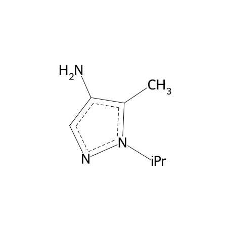 Cc1c(N)cnn1C(C)C